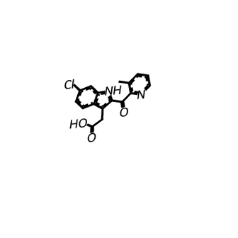 Cc1cccnc1C(=O)c1[nH]c2cc(Cl)ccc2c1CC(=O)O